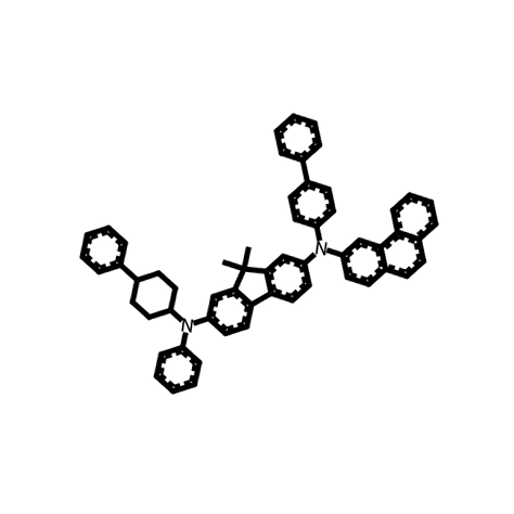 CC1(C)c2cc(N(c3ccc(-c4ccccc4)cc3)c3ccc4ccc5ccccc5c4c3)ccc2-c2ccc(N(c3ccccc3)C3CCC(c4ccccc4)CC3)cc21